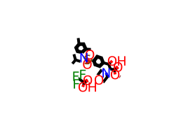 COC(=O)C(C(O)c1ccc(S(=O)(=O)N(CC(C)C)c2ccc(C)cc2C)cc1)N1CCOCC1.O=C(O)C(F)(F)F